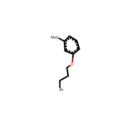 COc1cccc(OCCCC(C)C)c1